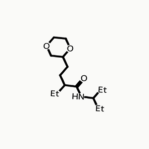 CCC(CC)NC(=O)C(CC)CCC1COCCO1